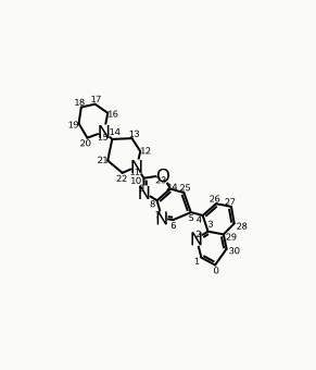 c1cnc2c(-c3cnc4nc(N5CCC(N6CCCCC6)CC5)oc4c3)cccc2c1